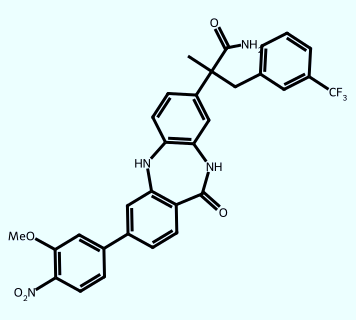 COc1cc(-c2ccc3c(c2)Nc2ccc(C(C)(Cc4cccc(C(F)(F)F)c4)C(N)=O)cc2NC3=O)ccc1[N+](=O)[O-]